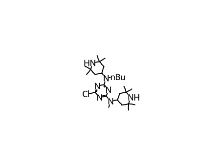 CCCCN(c1nc(Cl)nc(N(C)C2CC(C)(C)NC(C)(C)C2)n1)C1CC(C)(C)NC(C)(C)C1